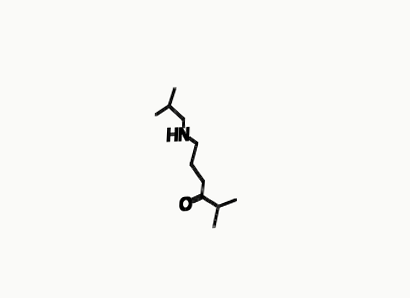 CC(C)CNCCCC(=O)C(C)C